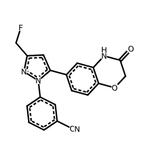 N#Cc1cccc(-n2nc(CF)cc2-c2ccc3c(c2)NC(=O)CO3)c1